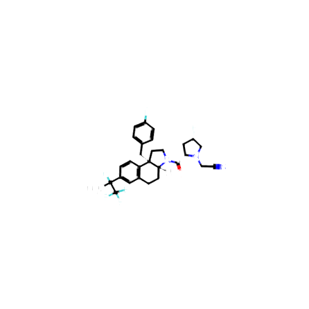 CC(F)(c1ccc2c(c1)CC[C@H]1N(C(=O)[C@@H]3C[C@H](F)CN3CC#N)CC[C@@]21Cc1ccc(F)cc1)C(F)(F)F